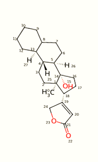 C[C@]12CC[C@H]3[C@@H](CCC4CCCC[C@@H]43)[C@@]1(O)CC[C@@H]2C1=CC(=O)OC1